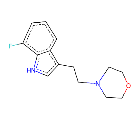 Fc1cccc2c(CCN3CCOCC3)c[nH]c12